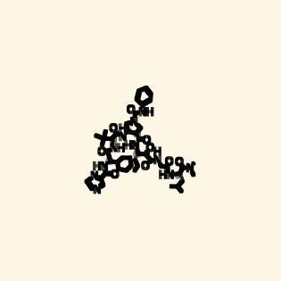 CCC[C@H](NC(=O)[C@@H]1CN(C(=O)Nc2ccccc2)C[C@@H]1NC(=O)[C@@H](NC(=O)[C@@H](NC(=O)c1cnccn1)C1CCCCC1)C(C)(C)C)C(=O)C(=O)NCC(=O)N[C@@H](CC(C)C)C(=O)N(C)C